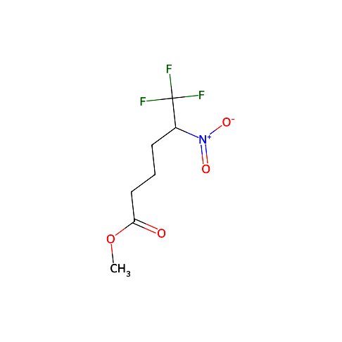 COC(=O)CCCC([N+](=O)[O-])C(F)(F)F